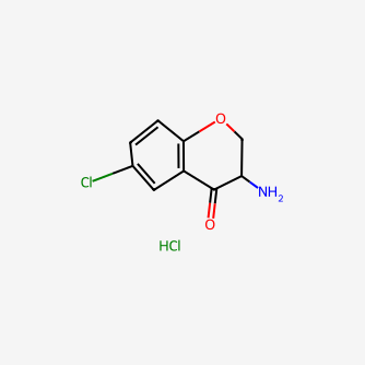 Cl.NC1COc2ccc(Cl)cc2C1=O